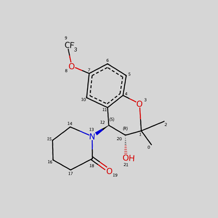 CC1(C)Oc2ccc(OC(F)(F)F)cc2[C@H](N2CCCCC2=O)[C@H]1O